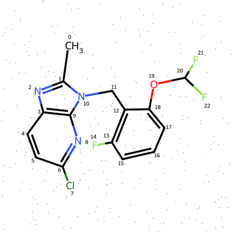 Cc1nc2ccc(Cl)nc2n1Cc1c(F)cccc1OC(F)F